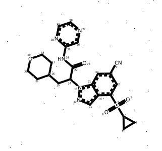 N#Cc1cc(S(=O)(=O)C2CC2)c2cnn(C(CC3CCOCC3)C(=O)Nc3cnccn3)c2c1